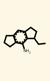 CCC1CCc2cc3c(c(N)c21)CCC3